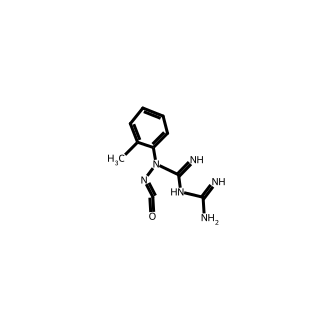 Cc1ccccc1N(N=C=O)C(=N)NC(=N)N